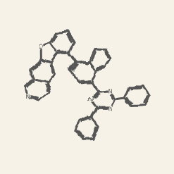 c1ccc(-c2nc(-c3ccccc3)nc(-c3ccc(-c4cccc5oc6cc7cnccc7cc6c45)c4ccccc34)n2)cc1